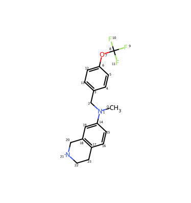 CN(Cc1ccc(OC(F)(F)F)cc1)c1ccc2c(c1)C[N]CC2